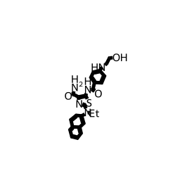 CCN(c1ccc2ccccc2c1)c1nc(C(N)=O)c(NC(=O)c2ccc(NCCO)cc2)s1